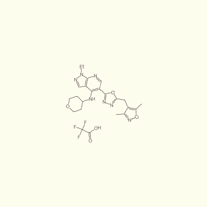 CCn1ncc2c(NC3CCOCC3)c(-c3nnc(Cc4c(C)noc4C)o3)cnc21.O=C(O)C(F)(F)F